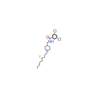 CCCCCC(F)CCCN1CCC(CNC(=O)c2cc(Cl)cc(Cl)c2)CC1